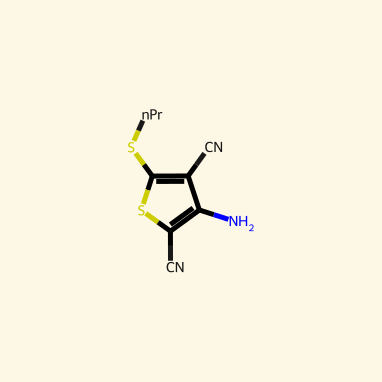 CCCSc1sc(C#N)c(N)c1C#N